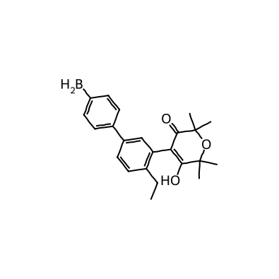 Bc1ccc(-c2ccc(CC)c(C3=C(O)C(C)(C)OC(C)(C)C3=O)c2)cc1